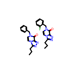 CCCc1nnc2c(=O)n(Cc3ccccc3)ccn12.CCCc1nnc2c(=O)n(Cc3ccccc3F)ccn12